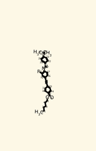 CCCCCCOC(=O)c1ccc(C#Cc2ccc(/N=N/c3ccc(N(C)C)cc3)c(F)c2)cc1